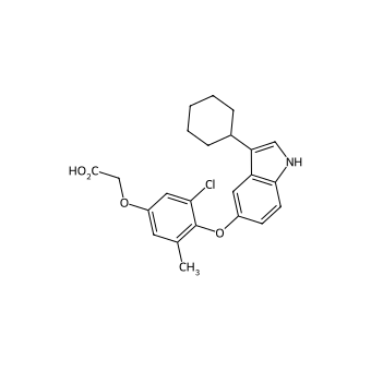 Cc1cc(OCC(=O)O)cc(Cl)c1Oc1ccc2[nH]cc(C3CCCCC3)c2c1